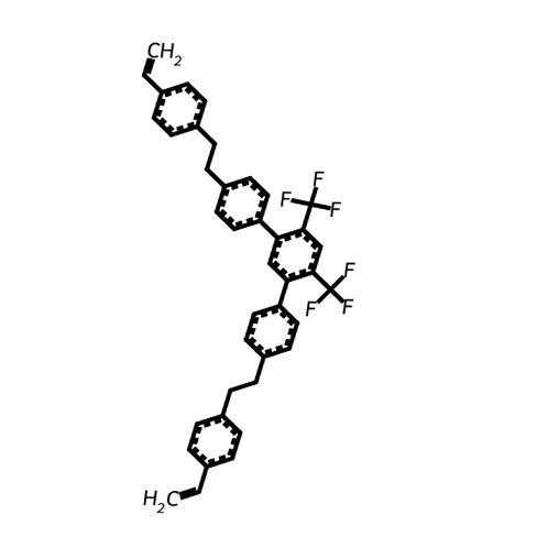 C=Cc1ccc(CCc2ccc(-c3cc(-c4ccc(CCc5ccc(C=C)cc5)cc4)c(C(F)(F)F)cc3C(F)(F)F)cc2)cc1